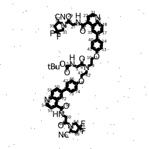 CC(C)(C)OC(=O)NCC(=O)N(CCOc1ccc(-c2ccc3nccc(C(=O)NCC(=O)N4CC(F)(F)C[C@H]4C#N)c3c2)cc1)CCOc1ccc(-c2ccc3nccc(C(=O)NCC(=O)N4CC(F)(F)C[C@H]4C#N)c3c2)cc1